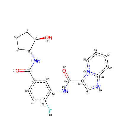 O=C(N[C@@H]1CCC[C@H]1O)c1ccc(F)c(NC(=O)c2cnc3ccccn23)c1